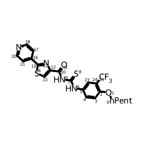 CCCCCOc1ccc(NC(=S)NC(=O)c2csc(-c3ccncc3)n2)cc1C(F)(F)F